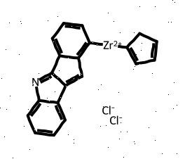 C1=CC[C]([Zr+2][c]2cccc3c2C=C2C3=Nc3ccccc32)=C1.[Cl-].[Cl-]